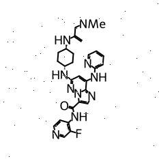 C=C(CNC)N[C@H]1CC[C@H](Nc2cc(Nc3ccccn3)c3ncc(C(=O)Nc4ccncc4F)n3n2)CC1